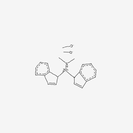 C[O-].C[O-].C[SiH](C)[Zr+2]([CH]1C=Cc2ccccc21)[CH]1C=Cc2ccccc21